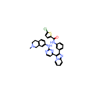 CN1CCc2ccc(Nc3nccc(-c4c(-c5cccc(NC(=O)c6ccc(Cl)s6)c5)nc5ccccn45)n3)cc2C1